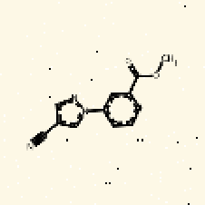 COC(=O)c1cccc(-n2cc(C#N)cn2)c1